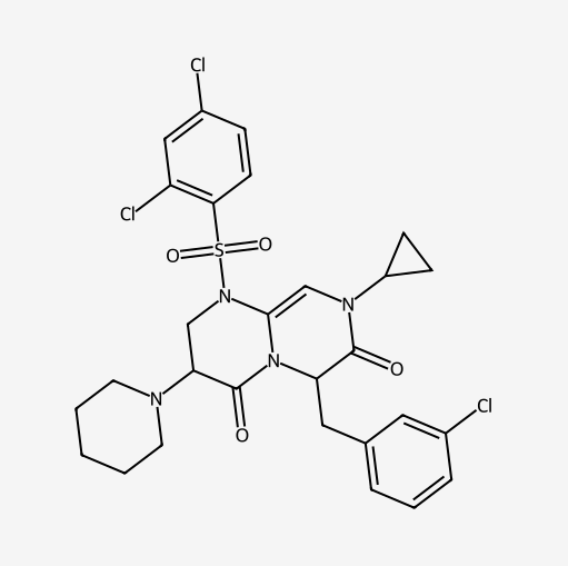 O=C1C(Cc2cccc(Cl)c2)N2C(=O)C(N3CCCCC3)CN(S(=O)(=O)c3ccc(Cl)cc3Cl)C2=CN1C1CC1